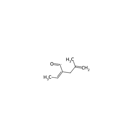 C=C(C)CC([C]=O)=CC